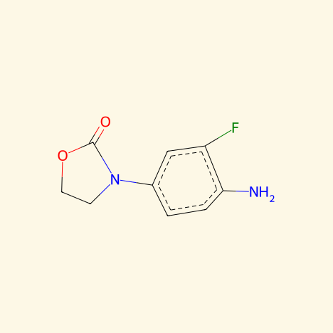 Nc1ccc(N2CCOC2=O)cc1F